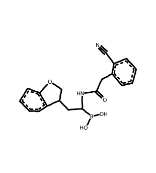 N#Cc1ccccc1CC(=O)NC(CC1COc2ccccc21)B(O)O